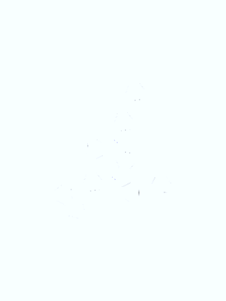 c1ccc(-c2ccc(-n3c4ccccc4c4c3ccc3c5c6c(ccc5n(-c5ccc7c(c5)-c5cccc8cccc-7c58)c34)oc3ccccc36)cc2)cc1